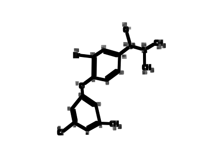 Cc1cc(Cl)cc(Oc2ccc([S+]([O-])N(C)C)cc2Br)c1